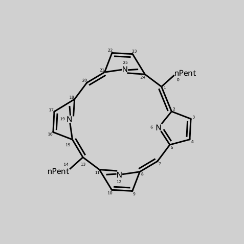 CCCCCC1=C2C=CC(=N2)C=C2C=CC(=N2)C(CCCCC)=C2C=CC(=N2)C=C2C=CC1=N2